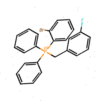 Fc1cccc(C[PH](c2ccccc2)(c2ccccc2)c2ccccc2Br)c1